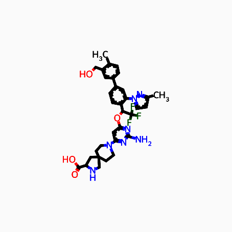 Cc1ccn(-c2cc(-c3ccc(C)c(CO)c3)ccc2C(Oc2cc(N3CCC4(CC3)CNC(C(=O)O)C4)nc(N)n2)C(F)(F)F)n1